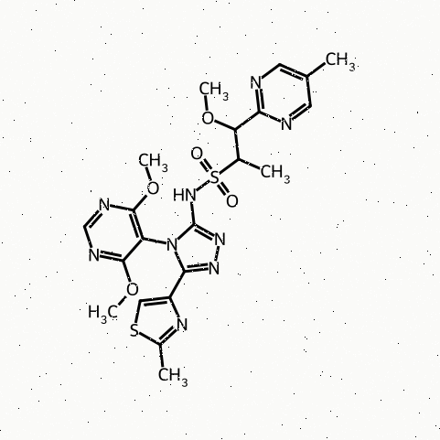 COc1ncnc(OC)c1-n1c(NS(=O)(=O)C(C)C(OC)c2ncc(C)cn2)nnc1-c1csc(C)n1